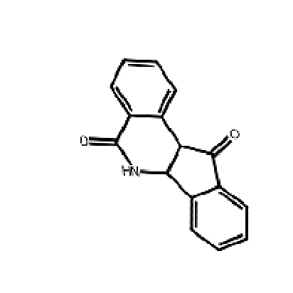 O=C1NC2c3ccccc3C(=O)C2c2ccccc21